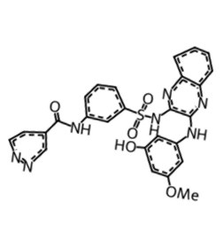 COc1cc(O)cc(Nc2nc3ccccc3nc2NS(=O)(=O)c2cccc(NC(=O)c3ccnnc3)c2)c1